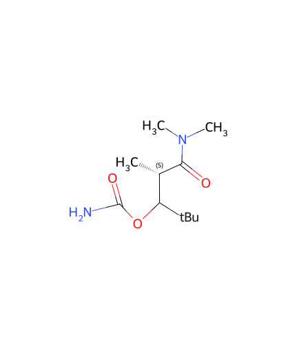 C[C@H](C(=O)N(C)C)C(OC(N)=O)C(C)(C)C